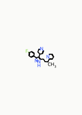 CC(CCc1[nH]nc(-c2ccc(F)cc2)c1C1C=CN=CC1)c1ccccn1